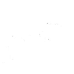 CC/C=C\C=C\C(=O)OCC